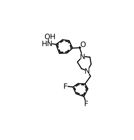 O=C(c1ccc(NO)cc1)N1CCN(Cc2cc(F)cc(F)c2)CC1